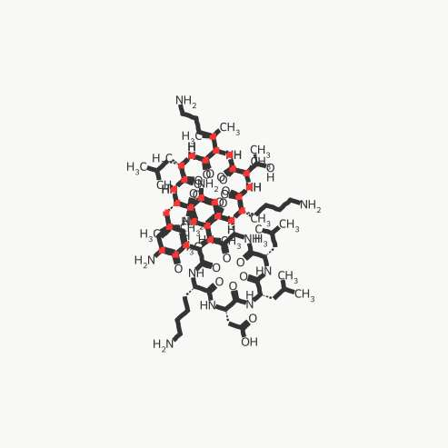 CC(C)C[C@H](NC(=O)[C@H](C)NC(=O)[C@H](CCCCN)NC(=O)[C@H](C)NC(=O)[C@H](C)NC(=O)CNC(=O)[C@H](CCCCN)NC(=O)[C@H](CC(C)C)NC(=O)[C@H](CC(C)C)NC(=O)[C@H](CC(=O)O)NC(=O)[C@H](CCCCN)NC(=O)[C@H](Cc1ccccc1)NC(=O)CN)C(=O)N[C@H](C(=O)N[C@@H](CCCCN)C(=O)N[C@H](C(=O)N[C@H](C(=O)N[C@@H](CC(C)C)C(=O)N[C@@H](Cc1ccccc1)C(N)=O)C(C)C)[C@@H](C)O)C(C)C